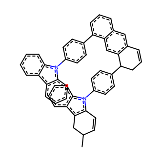 CC1C=Cc2c(c3ccccc3n2-c2ccc(C3CC=Cc4cc5cccc(-c6ccc(-n7c8ccccc8c8ccccc87)cc6)c5cc43)cc2)C1